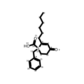 CCCCCCC1=CC(=O)CCS1(Cc1ccccc1)C(=O)O